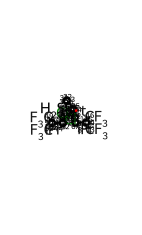 CCC1=Cc2c(ccc(C(C)C)c2-c2cc(C(F)(F)F)cc(C(F)(F)F)c2)[CH]1[Zr]([Cl])([Cl])([c]1cccc2c1[SiH2]c1ccccc1-2)[CH]1C(CC)=Cc2c1ccc(C(C)C)c2-c1cc(C(F)(F)F)cc(C(F)(F)F)c1